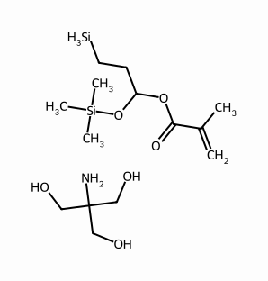 C=C(C)C(=O)OC(CC[SiH3])O[Si](C)(C)C.NC(CO)(CO)CO